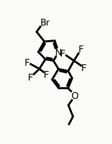 CCCOc1ccc(-c2ncc(CBr)cc2C(F)(F)F)c(C(F)(F)F)c1